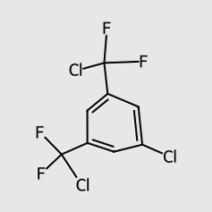 FC(F)(Cl)c1cc(Cl)cc(C(F)(F)Cl)c1